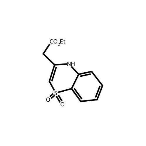 CCOC(=O)CC1=CS(=O)(=O)c2ccccc2N1